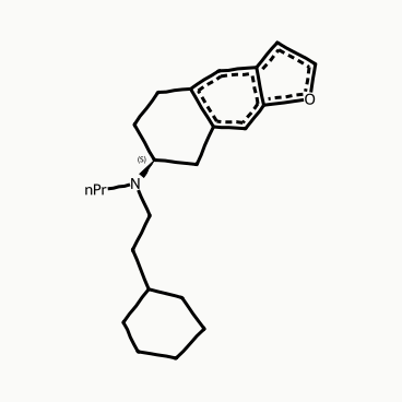 CCCN(CCC1CCCCC1)[C@H]1CCc2cc3ccoc3cc2C1